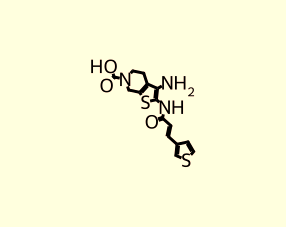 Nc1c(NC(=O)/C=C/c2ccsc2)sc2c1CCN(C(=O)O)C2